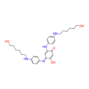 O=C1C=C(O)C(=Nc2ccc(NCCCCCCO)cc2)C=C1Nc1ccc(NCCCCCCO)cc1